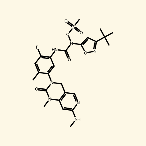 CNc1cc2c(cn1)CN(c1cc(NC(=O)N(OS(C)(=O)=O)c3cc(C(C)(C)C)no3)c(F)cc1C)C(=O)N2C